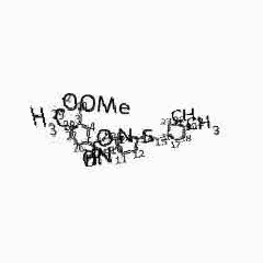 COC(=O)c1cc(S(=O)(=O)Nc2ccc(SCc3ccc(C)c(C)c3)nc2)ccc1C